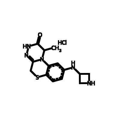 CC1C(=O)NN=C2CSc3ccc(NC4CNC4)cc3N21.Cl